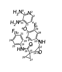 Nc1nccc(Oc2ccc(NC3OC3C3(C(=O)Nc4ccc(F)cc4)CC3)cc2F)c1N